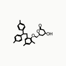 Cc1ccc(C(Cc2cc(C)cc(C)c2OC[C@@H]2C[C@@H](O)CC(=O)O2)c2ccc(C)cc2)cc1